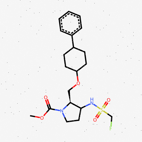 COC(=O)N1CCC(NS(=O)(=O)CF)[C@@H]1COC1CCC(c2ccccc2)CC1